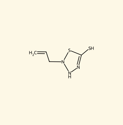 C=CCN1NN=C(S)S1